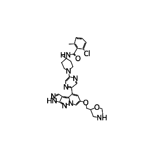 Cc1cccc(Cl)c1C(=O)NC1(C)CCN(c2cnc(-c3cc(OCC4CNCCO4)cn4nc5[nH]ncc5c34)cn2)CC1